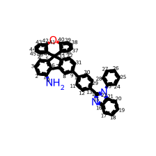 Nc1cccc2c1-c1cc(-c3ccc(-c4nc5ccccc5n4-c4ccccc4)cc3)ccc1C21c2ccccc2Oc2ccccc21